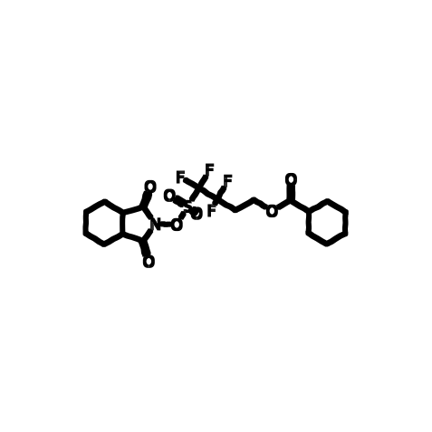 O=C(OCCC(F)(F)C(F)(F)S(=O)(=O)ON1C(=O)C2CCCCC2C1=O)C1CCCCC1